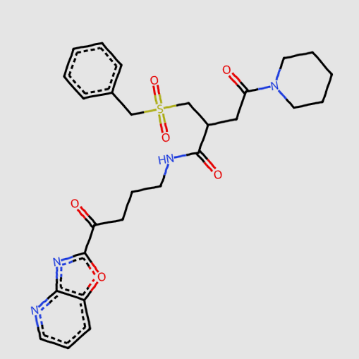 O=C(CCCNC(=O)C(CC(=O)N1CCCCC1)CS(=O)(=O)Cc1ccccc1)c1nc2ncccc2o1